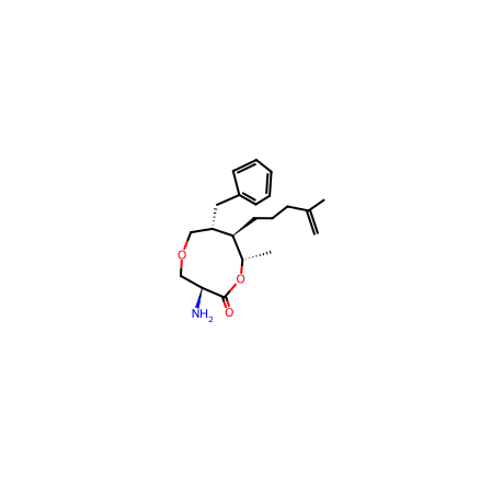 C=C(C)CCC[C@@H]1[C@@H](Cc2ccccc2)COC[C@H](N)C(=O)O[C@H]1C